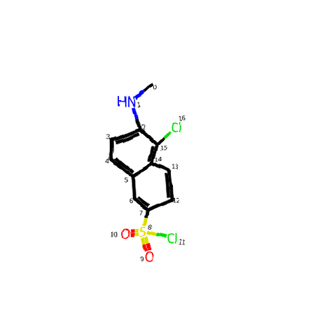 CNc1ccc2cc(S(=O)(=O)Cl)ccc2c1Cl